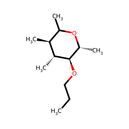 CCCO[C@H]1[C@H](C)[C@@H](C)C(C)O[C@@H]1C